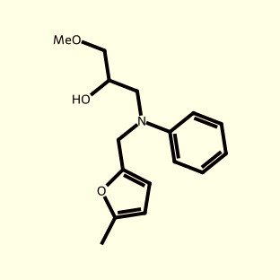 COCC(O)CN(Cc1ccc(C)o1)c1ccccc1